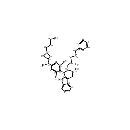 C[C@@H]1Cc2c([nH]c3ccccc23)[C@@H](c2c(F)cc(C(F)C3CN(CCCF)C3)cc2F)N1C[C@@H](F)COCc1ccccc1